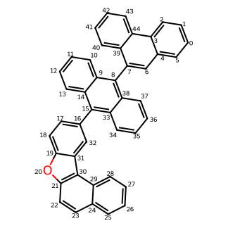 c1ccc2c(c1)cc(-c1c3ccccc3c(-c3ccc4oc5ccc6ccccc6c5c4c3)c3ccccc13)c1ccccc12